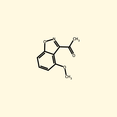 COc1cccc2onc(C(C)=O)c12